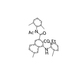 CCOC(=O)c1c(C(=O)N(C(C)=O)c2c(C)cccc2C)cc2ccc(C)cc2c1Nc1c(C)cccc1C